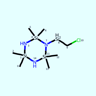 C[Si]1(C)N[Si](C)(C)N([SiH2]CCl)[Si](C)(C)N1